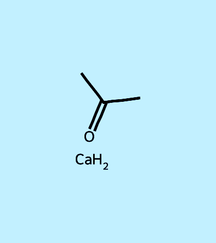 CC(C)=O.[CaH2]